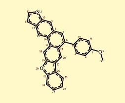 COc1ccc(-c2cc3cc4sccc4cc3c3cc4oc5ccccc5c4cc23)cc1